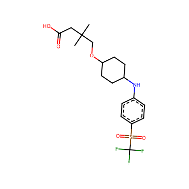 CC(C)(COC1CCC(Nc2ccc(S(=O)(=O)C(F)(F)F)cc2)CC1)CC(=O)O